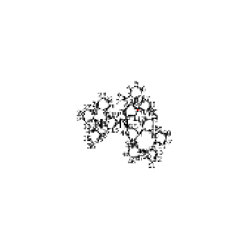 CC1(C)c2ccccc2-c2ccc(N(c3ccc4c(c3)-c3ccccc3-c3ccccc3N4c3ccccc3)c3ccc4c5ccccc5c5ccccc5c5ccccc5c5cc6sc7ccccc7c6cc5c4c3)cc21